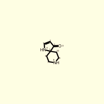 O=C1C=CNC12CCNCC2